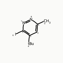 Cc1cc(C(C)(C)C)c(I)nn1